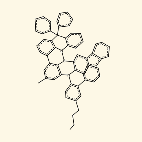 CCCCc1ccc(N2c3cc4oc5ccccc5c4cc3B3c4c(cc(C)cc42)-c2cccc4c2N3c2ccccc2C4(c2ccccc2)c2ccccc2)c(-c2ccccc2)c1